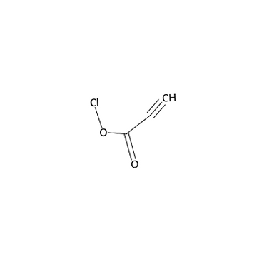 C#CC(=O)OCl